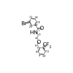 O=C(NCCOCc1ccccc1C(F)(F)F)c1cccc(Br)c1